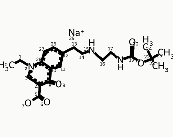 CCn1cc(C(=O)[O-])c(=O)c2cc(CCNCCNC(=O)OC(C)(C)C)ccc21.[Na+]